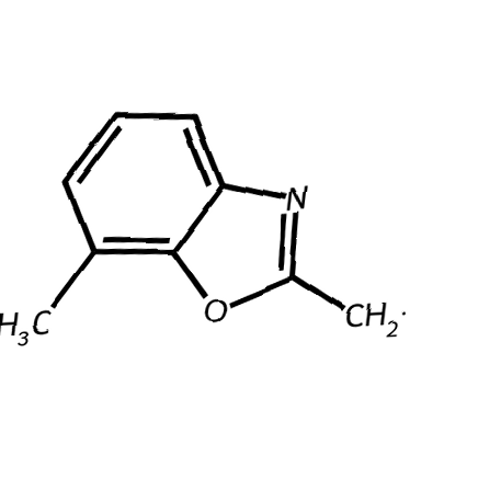 [CH2]c1nc2cccc(C)c2o1